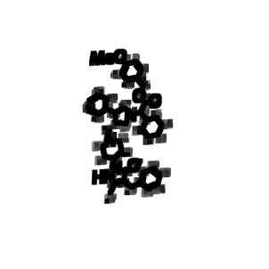 COc1ccc(COC(=O)[C@@H](C2CCCCC2)N2C[C@H](CN3CCC(n4[nH]c(C)c(Cc5ccccc5)c4=O)CC3)[C@@H](c3ccccc3)C2)cc1